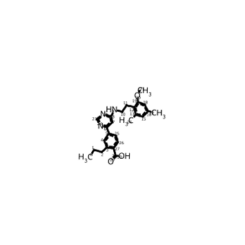 CCCc1cc(-c2cc(NCCc3c(C)cc(C)cc3OC)ncn2)ccc1C(=O)O